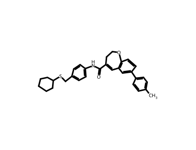 Cc1ccc(-c2ccc3c(c2)C=C(C(=O)Nc2ccc(CSC4CCCCC4)cc2)CCO3)cc1